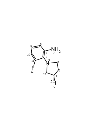 [2H][C@@H]1CCN(c2c(N)cccc2F)C1